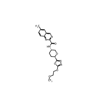 O=C(N[C@H]1CC[C@H](c2nnc(OCCOC(F)(F)F)o2)OC1)c1ncc2cc(C(F)(F)F)ccc2n1